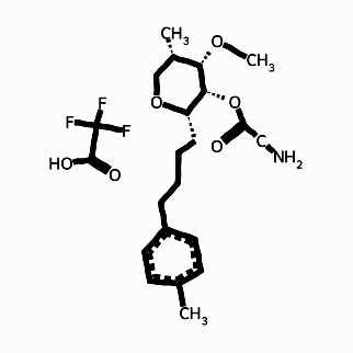 CO[C@@H]1[C@H](OC(=O)CN)[C@H](CCCCc2ccc(C)cc2)OC[C@@H]1C.O=C(O)C(F)(F)F